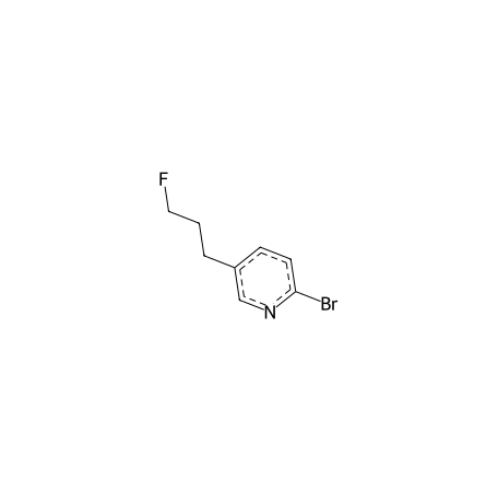 FCCCc1ccc(Br)nc1